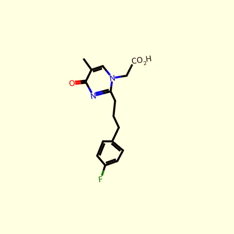 Cc1cn(CC(=O)O)c(CCCc2ccc(F)cc2)nc1=O